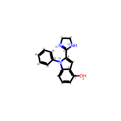 Oc1cccc2c1cc(C1=NCCN1)n2-c1ccccc1